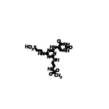 CS(=O)(=O)NCCNc1nc(NCCS(=O)(=O)O)nc(Nc2c[nH]c(=O)[nH]c2=O)n1